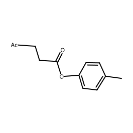 CC(=O)CCC(=O)Oc1ccc(C)cc1